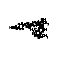 CC(O)C(CN1CCNCC1)S(=O)(=O)O.CC(O)N1CCNCC1.CCS(=O)(=O)O.O=S(=O)(O)CCN1CCN(CCO)CC1